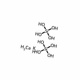 O[Si](O)(O)O.O[Si](O)(O)O.[CaH2].[KH]